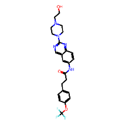 O=C(CCc1ccc(OC(F)(F)F)cc1)Nc1ccc2nc(N3CCN(CCO)CC3)ncc2c1